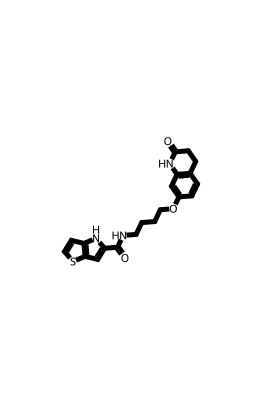 O=C1CCc2ccc(OCCCCNC(=O)c3cc4sccc4[nH]3)cc2N1